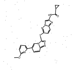 COc1cccc(-c2ccc3nnc(Sc4ccc5nc(NC(=O)C6CC6)cn5n4)n3c2)n1